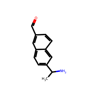 CC(N)c1ccc2cc(C=O)ccc2c1